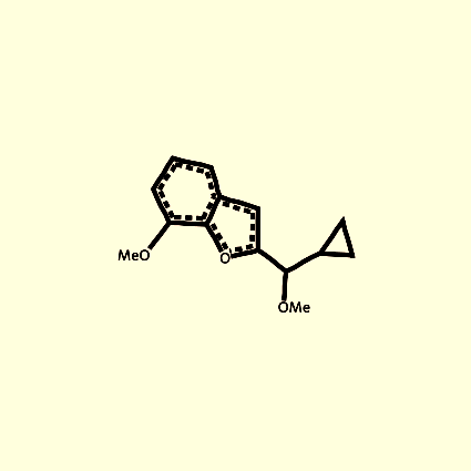 COc1cccc2cc(C(OC)C3CC3)oc12